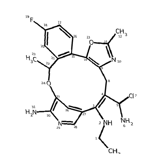 CCN/C1=C(\C(N)Cl)Cc2nc(C)oc2-c2ccc(F)cc2C(C)Oc2cc1cnc2N